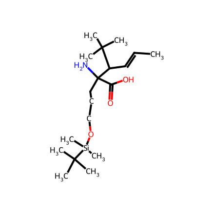 CC=CC(C(C)(C)C)C(N)(CCCO[Si](C)(C)C(C)(C)C)C(=O)O